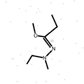 CC/C(=N/N(C)CC)OC